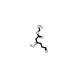 CCOC(=O)C[C@H](C)CCC=O